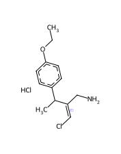 CCOc1ccc(C(C)/C(=C\Cl)CN)cc1.Cl